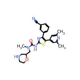 Cc1cc(-c2sc(NC(=O)N(C)CC3CNCCO3)nc2-c2cccc(C#N)c2)cc(C)n1